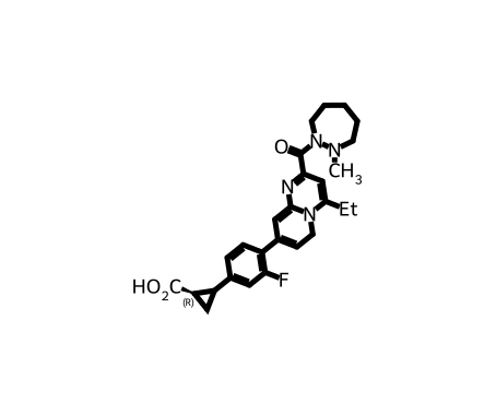 CCC1=CC(C(=O)N2CCCCCN2C)=NC2=CC(c3ccc(C4C[C@H]4C(=O)O)cc3F)=CCN12